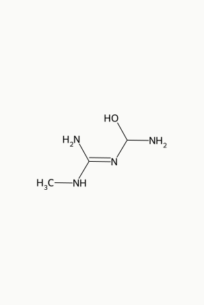 CN/C(N)=N/C(N)O